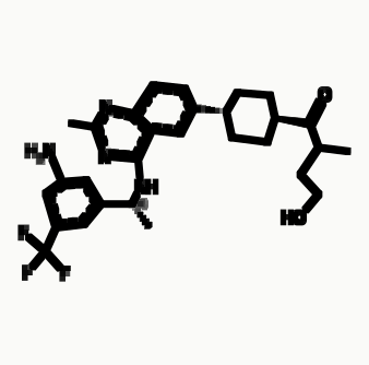 Cc1nc(N[C@H](C)c2cc(N)cc(C(F)(F)F)c2)c2cc([C@H]3CC[C@H](C(=O)C(C)CCO)CC3)ccc2n1